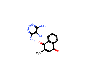 CC1=CC(=O)c2ccccc2C1=O.Nc1nnnc(N)c1N